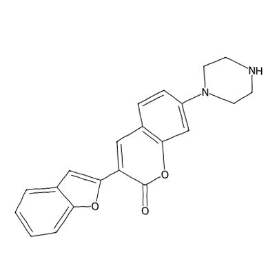 O=c1oc2cc(N3CCNCC3)ccc2cc1-c1cc2ccccc2o1